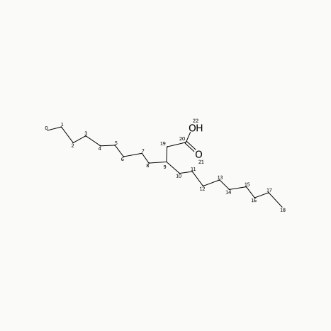 CCCCCCCCCC(CCCCCCCCC)CC(=O)O